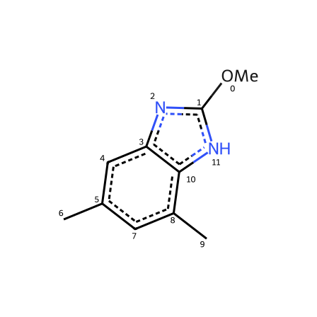 COc1nc2cc(C)cc(C)c2[nH]1